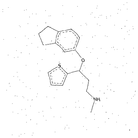 CNCCC(Oc1ccc2c(c1)CCC2)c1cccs1